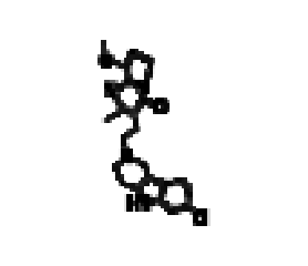 COc1cccn2c(=O)c(CCN3CCc4[nH]c5cc(Cl)ccc5c4C3)c(C)nc12